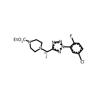 CCOC(=O)N1CCN([C@@H](C)c2nnn(-c3cc(Cl)ccc3F)n2)CC1